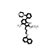 O=C(O)Oc1[nH]c2c(-c3ccccc3N3CCOCC3)ccc(C(F)(F)F)c2c1CCCOc1cccc2ccccc12